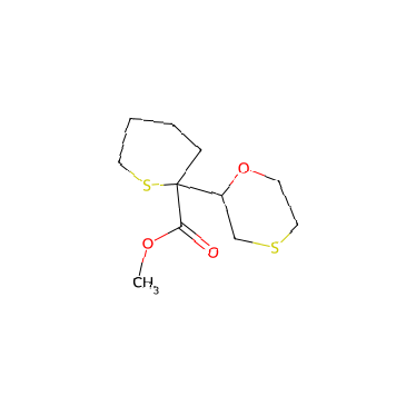 COC(=O)C1(C2CSCCO2)CCCCS1